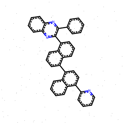 c1ccc(-c2nc3ccccc3nc2-c2cccc3c(-c4ccc(-c5ccccn5)c5ccccc45)cccc23)cc1